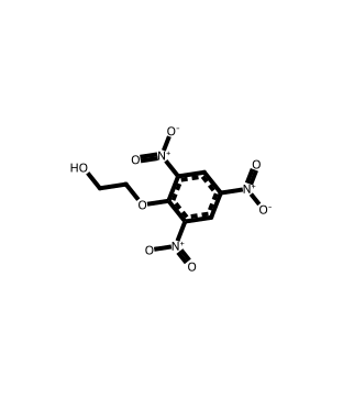 O=[N+]([O-])c1cc([N+](=O)[O-])c(OCCO)c([N+](=O)[O-])c1